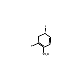 O=S(=O)(O)C1=C(F)C[C@@H](F)C=C1